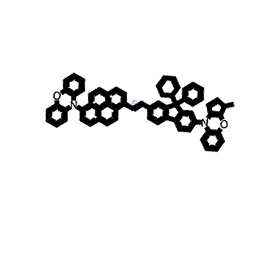 CC1C=CC2=C1Oc1ccccc1N2c1ccc2c(c1)C(c1ccccc1)(C1C=CC=CC1)c1cc(/C=C/c3ccc4ccc5c(N6c7ccccc7Oc7ccccc76)ccc6ccc3c4c65)ccc1-2